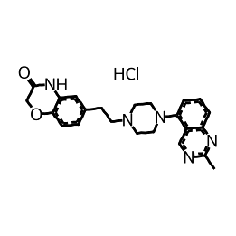 Cc1ncc2c(N3CCN(CCc4ccc5c(c4)NC(=O)CO5)CC3)cccc2n1.Cl